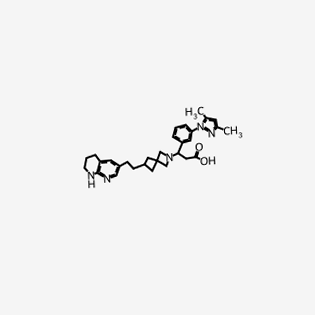 Cc1cc(C)n(-c2cccc(C(CC(=O)O)N3CC4(CC(CCc5cnc6c(c5)CCCN6)C4)C3)c2)n1